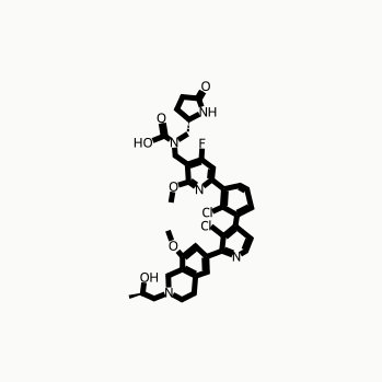 COc1cc(-c2nccc(-c3cccc(-c4cc(F)c(CN(C[C@@H]5CCC(=O)N5)C(=O)O)c(OC)n4)c3Cl)c2Cl)cc2c1CN(C[C@@H](C)O)CC2